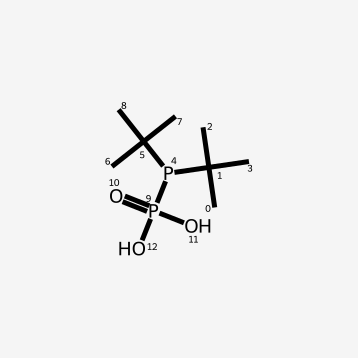 CC(C)(C)P(C(C)(C)C)P(=O)(O)O